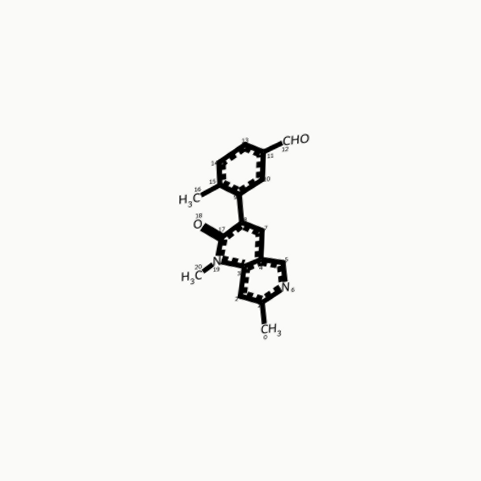 Cc1cc2c(cn1)cc(-c1cc(C=O)ccc1C)c(=O)n2C